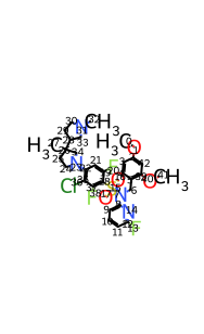 COc1ccc(CN(c2cccc(F)n2)S(=O)(=O)c2c(F)cc(N3CCC(C)(C4CCN(C)C4)C3)c(Cl)c2F)c(OC)c1